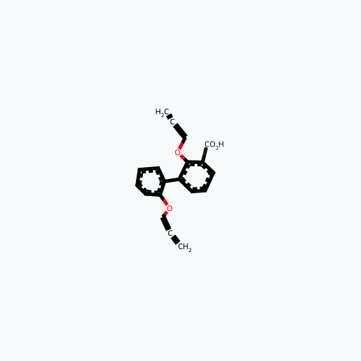 C=C=COc1ccccc1-c1cccc(C(=O)O)c1OC=C=C